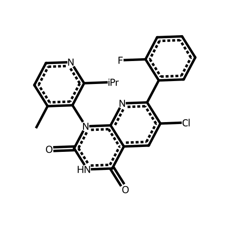 Cc1ccnc(C(C)C)c1-n1c(=O)[nH]c(=O)c2cc(Cl)c(-c3ccccc3F)nc21